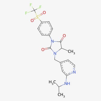 CC(C)Nc1cc(CN2C(=O)N(c3ccc(S(=O)(=O)C(F)(F)F)cc3)C(=O)C2C)ccn1